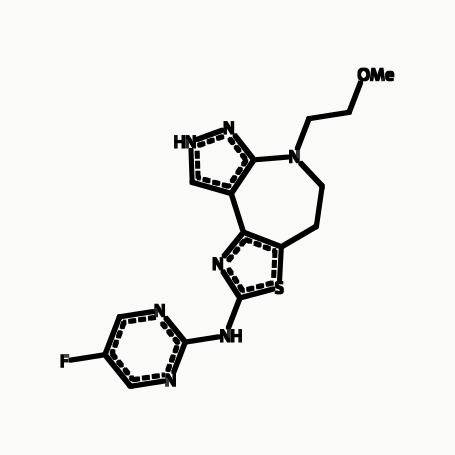 COCCN1CCc2sc(Nc3ncc(F)cn3)nc2-c2c[nH]nc21